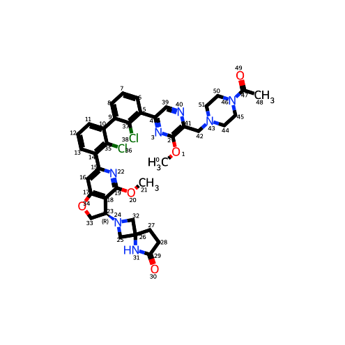 COc1nc(-c2cccc(-c3cccc(-c4cc5c(c(OC)n4)[C@@H](N4CC6(CCC(=O)N6)C4)CO5)c3Cl)c2Cl)cnc1CN1CCN(C(C)=O)CC1